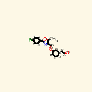 Cc1oc(-c2ccc(F)cc2)nc1CO[C@@H]1CCC[C@H](CC=O)C1